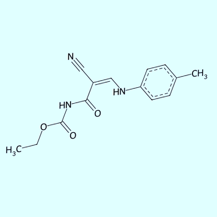 CCOC(=O)NC(=O)/C(C#N)=C\Nc1ccc(C)cc1